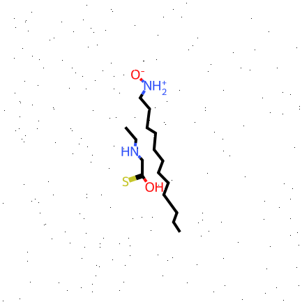 CCCCCCCCCCCC[NH2+][O-].CCNCC(O)=S